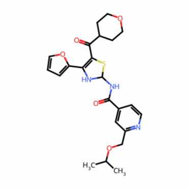 CC(C)OCc1cc(C(=O)NC2NC(c3ccco3)=C(C(=O)C3CCOCC3)S2)ccn1